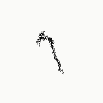 CCOC1CCC(n2cc(NC(=O)c3csc(-c4cnn(COC(=O)CCOCCOCCOCCOCCOCCOCCN)c4)n3)c(-c3nc(F)ccc3F)n2)CC1.Cl